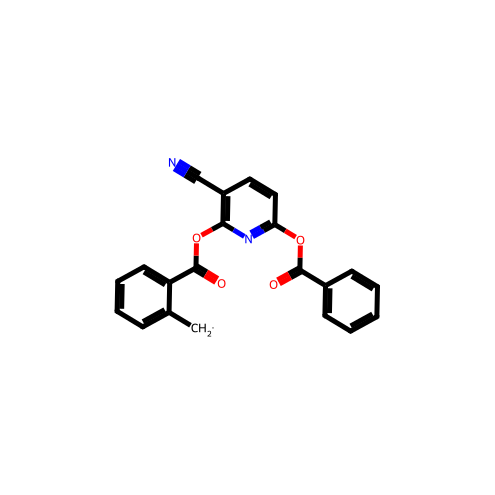 [CH2]c1ccccc1C(=O)Oc1nc(OC(=O)c2ccccc2)ccc1C#N